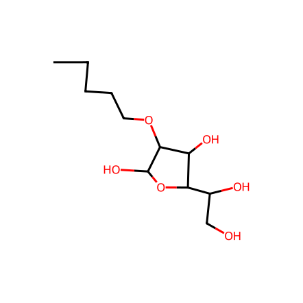 CCCCCOC1C(O)OC(C(O)CO)C1O